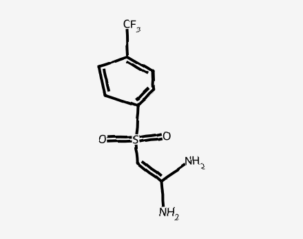 NC(N)=CS(=O)(=O)c1ccc(C(F)(F)F)cc1